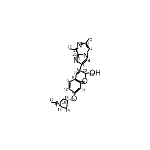 Cc1cn2cc(C3=Cc4ccc(O[C@@H]5CCN(C)C5)cc4OC3O)nc2c(C)n1